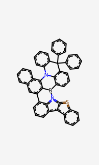 c1ccc(C2(c3ccccc3)c3ccccc3N3c4c(cccc42)B2c4c(cc5ccccc5c43)-c3cccc4c5c6ccccc6sc5n2c34)cc1